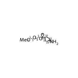 COCCOCCOC(=O)c1ccc(N)cc1